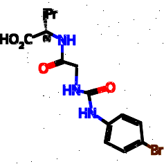 CC(C)[C@H](NC(=O)CNC(=O)Nc1ccc(Br)cc1)C(=O)O